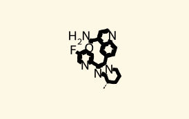 C[C@H]1CCCn2c1nc(-c1ccc(F)cn1)c2-c1ccc2nccc(C(N)=O)c2c1